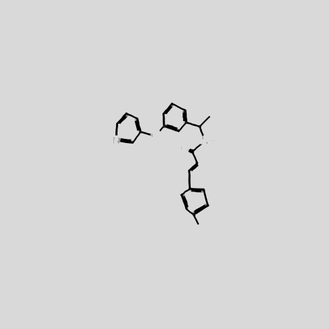 Cc1ccc(C=CC(=O)NC(C)c2cccc(Oc3cccnc3)c2)cc1